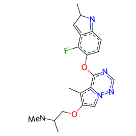 CNC(C)COc1cn2ncnc(Oc3ccc4c(c3F)=CC(C)N=4)c2c1C